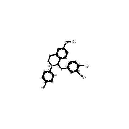 CCCCOc1ccc2c(c1)CCN(c1ccc(F)cc1)C2Cc1ccc(C)c([N+](=O)[O-])c1